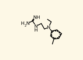 CCN(CCNC(=N)N)c1cccc(C)c1